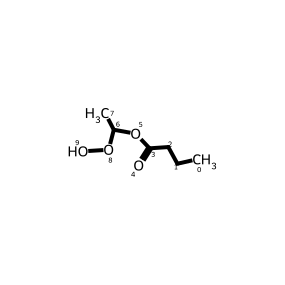 CCCC(=O)OC(C)OO